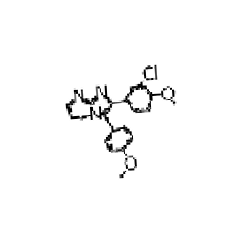 COc1ccc(-c2c(-c3ccc(OC)c(Cl)c3)nc3ncccn23)cc1